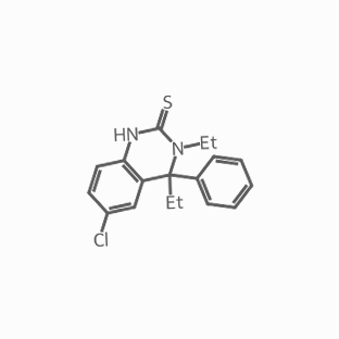 CCN1C(=S)Nc2ccc(Cl)cc2C1(CC)c1ccccc1